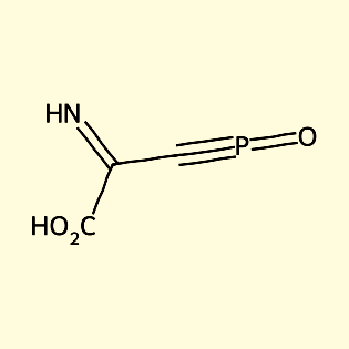 N=C(C#P=O)C(=O)O